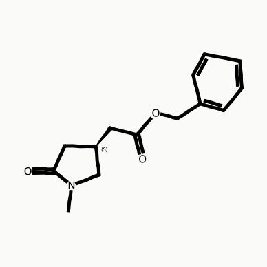 CN1C[C@H](CC(=O)OCc2ccccc2)CC1=O